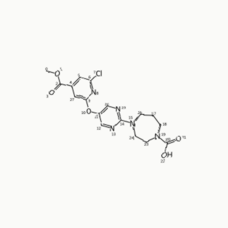 COC(=O)c1cc(Cl)nc(Oc2cnc(N3CCCN(C(=O)O)CC3)nc2)c1